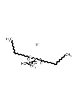 CCCCCCCC/C=C\CCCCCCCC(=O)OCCN(CCOC(=O)CCCCCCC/C=C\CCCCCCCC)C(=O)CC[N+](C)(C)CCO.[Br-]